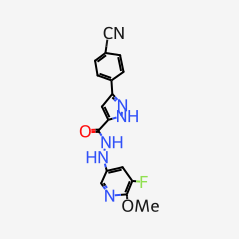 COc1ncc(NNC(=O)c2cc(-c3ccc(C#N)cc3)n[nH]2)cc1F